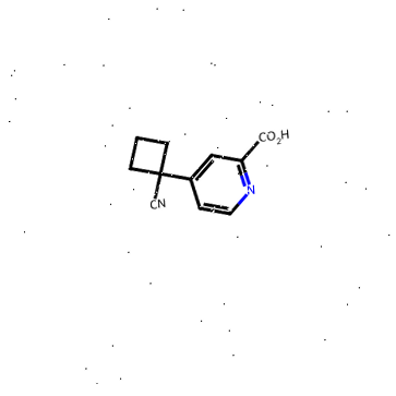 N#CC1(c2ccnc(C(=O)O)c2)CCC1